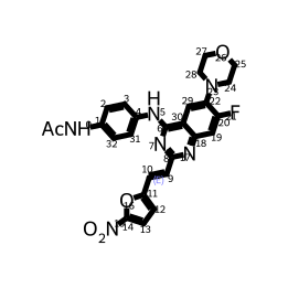 CC(=O)Nc1ccc(Nc2nc(/C=C/c3ccc([N+](=O)[O-])o3)nc3cc(F)c(N4CCOCC4)cc23)cc1